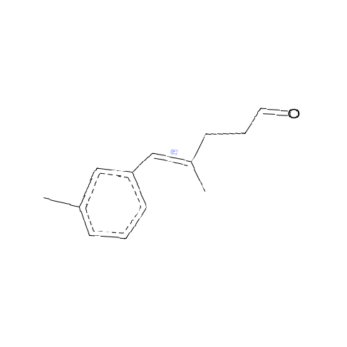 C/C(=C\c1cccc(C)c1)CCC=O